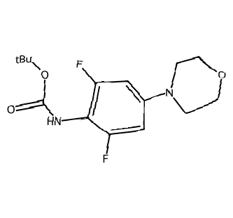 CC(C)(C)OC(=O)Nc1c(F)cc(N2CCOCC2)cc1F